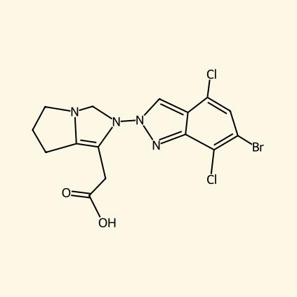 O=C(O)CC1=C2CCCN2CN1n1cc2c(Cl)cc(Br)c(Cl)c2n1